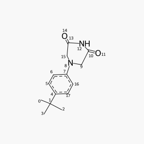 CC(C)(C)c1ccc(N2CC(=O)NC(=O)C2)cc1